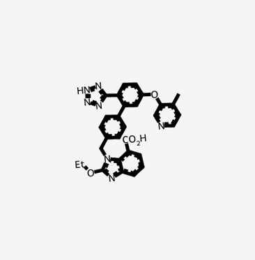 CCOc1nc2cccc(C(=O)O)c2n1Cc1ccc(-c2cc(Oc3cnccc3C)ccc2-c2nn[nH]n2)cc1